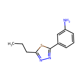 CCCc1nnc(-c2cccc(N)c2)s1